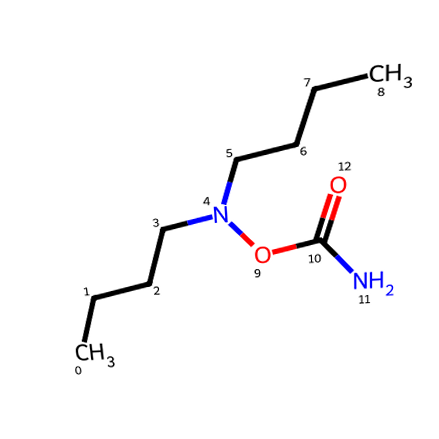 CCCCN(CCCC)OC(N)=O